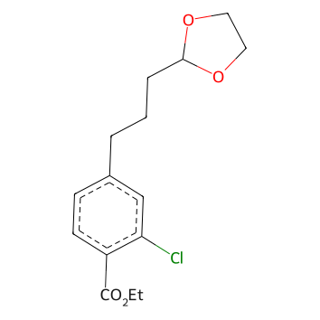 CCOC(=O)c1ccc(CCCC2OCCO2)cc1Cl